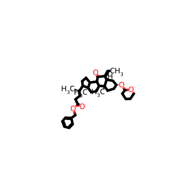 C/C=C1/C(=O)C2C3CCC([C@H](C)CCC(=O)OCc4ccccc4)[C@@]3(C)CCC2[C@@]2(C)CC[C@@H](OC3CCCCO3)C[C@@H]12